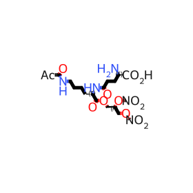 CC(=O)C(=O)NCCCC[C@H](NC(=O)CC[C@H](N)C(=O)O)C(=O)OC[C@H](CO[N+](=O)[O-])O[N+](=O)[O-]